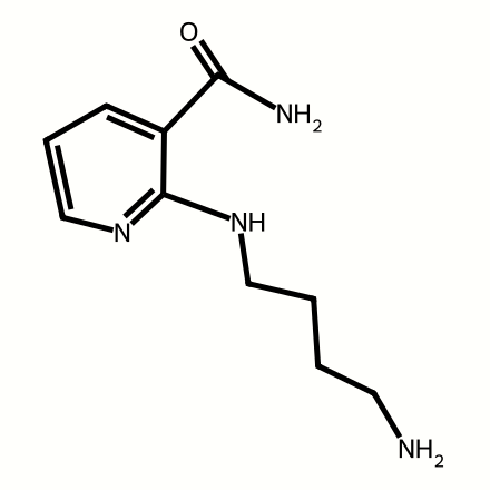 NCCCCNc1ncccc1C(N)=O